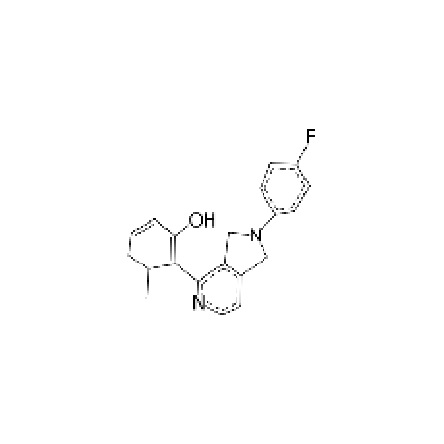 CC1CC=CC(O)=C1c1nccc2c1CN(c1ccc(F)cc1)C2